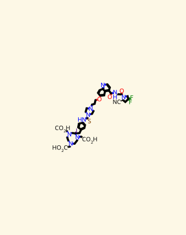 N#C[C@@H]1CC(F)(F)CN1C(=O)CNC(=O)c1ccnc2ccc(OCCCN3CCN(C(=S)Nc4ccc(CC5(I)CN(CC(=O)O)CCN(CC(=O)O)CCN5CC(=O)O)cc4)CC3)cc12